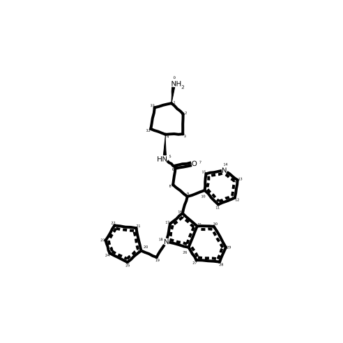 N[C@H]1CC[C@@H](NC(=O)CC(c2cccnc2)c2cn(Cc3ccccc3)c3ccccc23)CC1